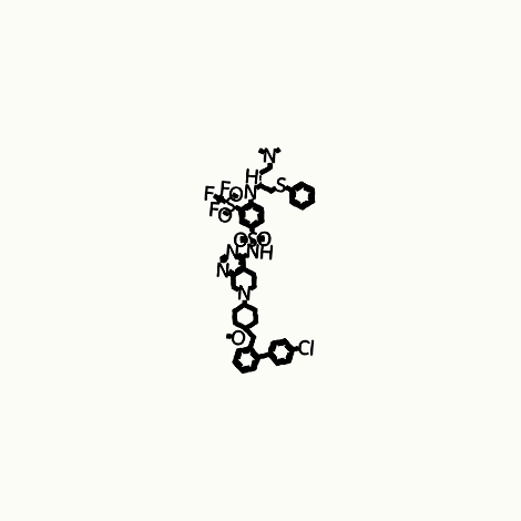 COC1(Cc2ccccc2-c2ccc(Cl)cc2)CCC(N2CCc3c(ncnc3NS(=O)(=O)c3ccc(N[C@H](CCN(C)C)CSc4ccccc4)c(S(=O)(=O)C(F)(F)F)c3)C2)CC1